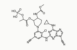 COC(=O)NC1CCN(c2cc(C#N)cc(Nc3nc(NC4CC4)c4ncc(C#N)n4n3)c2Cl)CC1OC(=O)C(C)OP(=O)(O)O